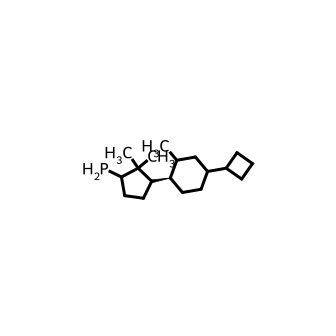 CC1CC(C2CCC2)CC[C@H]1C1CCC(P)C1(C)C